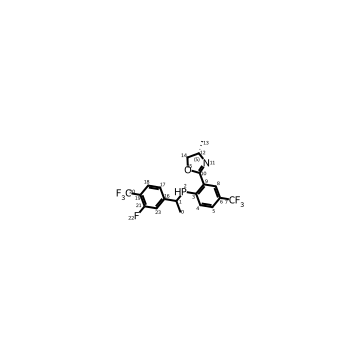 CC(Pc1ccc(C(F)(F)F)cc1C1=N[C@@H](C)CO1)c1ccc(C(F)(F)F)c(F)c1